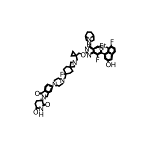 CCc1c(F)ccc2cc(O)cc(-c3ncc4c(N5CC6CCC(C5)N6)nc(OCC5(CN6CC7(CCC(F)(CN8CCN(c9ccc%10c(c9)CN([C@H]9CCC(=O)NC9=O)C%10=O)CC8)CC7)C6)CC5)nc4c3F)c12